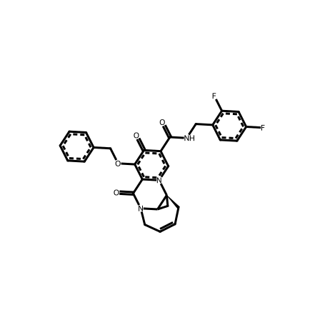 O=C(NCc1ccc(F)cc1F)c1cn2c(c(OCc3ccccc3)c1=O)C(=O)N1CC=CC[C@]23CC13